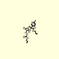 C=CCOC(=O)O[C@H](C)[C@H]1C(=O)N2CC(C(=O)OCC=C)(c3ccc(C)nc3)S[C@H]12